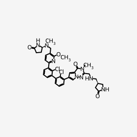 COc1nc(-c2cccc(-c3cccc(-c4cc5c(=O)n(C)c(CNC[C@H]6CNC(=O)C6)nn5c4)c3Cl)c2Cl)ccc1CN(C)[C@H]1CCC(=O)N1